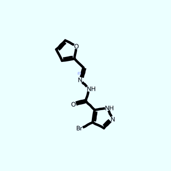 O=C(N/N=C/c1ccco1)c1[nH]ncc1Br